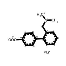 CN(C)Cc1ccccc1-c1ccc(C(=O)[O-])cc1.[Li+]